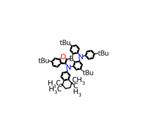 CC(C)(C)c1ccc(N2c3ccc(C(C)(C)C)cc3B3c4oc5cc(C(C)(C)C)ccc5c4N(c4ccc5c(c4)C(C)(C)CCC5(C)C)c4cc(C(C)(C)C)cc2c43)cc1